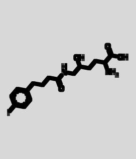 NC(CCC(O)CNC(=O)CCCc1ccc(I)cc1)C(=O)O